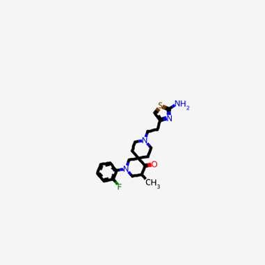 CC1CN(c2ccccc2F)CC2(CCN(CCc3csc(N)n3)CC2)C1=O